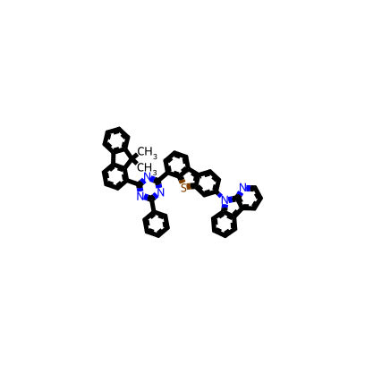 CC1(C)c2ccccc2-c2cccc(-c3nc(-c4ccccc4)nc(-c4cccc5c4sc4cc(-n6c7ccccc7c7cccnc76)ccc45)n3)c21